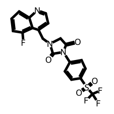 O=C1CN(Cc2ccnc3cccc(F)c23)C(=O)N1c1ccc(S(=O)(=O)C(F)(F)F)cc1